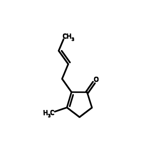 CC=CCC1=C(C)CCC1=O